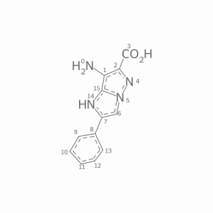 Nc1c(C(=O)O)nn2cc(-c3ccccc3)[nH]c12